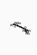 CNC(CC(C)C)C(=O)OCCCCCCOC(=O)C(CC(C)C)NC(=O)C(C)(C)C